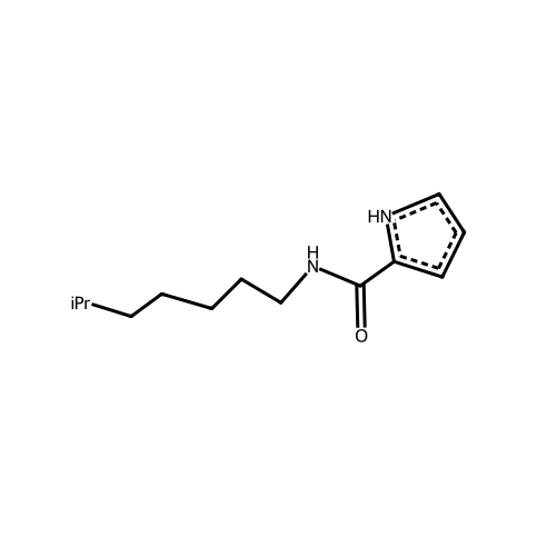 CC(C)CCCCCNC(=O)c1ccc[nH]1